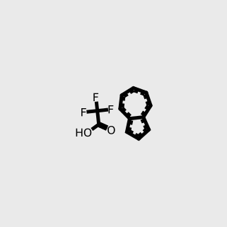 O=C(O)C(F)(F)F.c1ccc2cccc-2cc1